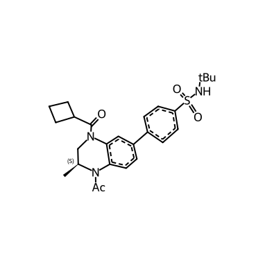 CC(=O)N1c2ccc(-c3ccc(S(=O)(=O)NC(C)(C)C)cc3)cc2N(C(=O)C2CCC2)C[C@@H]1C